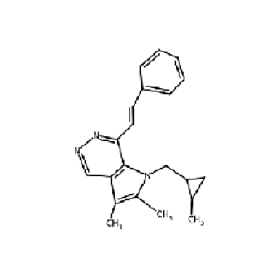 Cc1c(C)n(CC2CC2C)c2c(C=Cc3ccccc3)nncc12